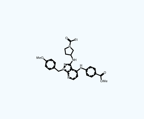 CCC(=O)N1CCC(Nc2nn(Cc3ccc(OC)cc3)c3nccc(Nc4ccc(C(=O)OC)cc4)c23)C1